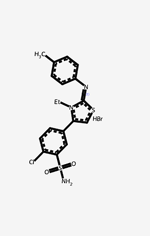 Br.CCn1c(-c2ccc(Cl)c(S(N)(=O)=O)c2)cs/c1=N/c1ccc(C)cc1